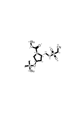 CC(C)(C)OC(=O)N1C[C@H](O[Si](C)(C)C(C)(C)C)C[C@H]1COS(=O)(=O)CC#N